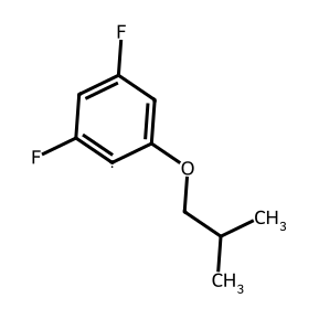 CC(C)COc1[c]c(F)cc(F)c1